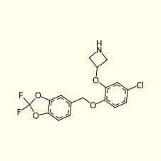 FC1(F)Oc2ccc(COc3ccc(Cl)cc3OC3CNC3)cc2O1